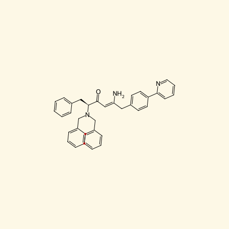 NC(=CC(=O)[C@H](Cc1ccccc1)N(Cc1ccccc1)Cc1ccccc1)Cc1ccc(-c2ccccn2)cc1